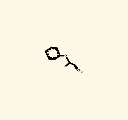 C=CC([S])Oc1ccccc1